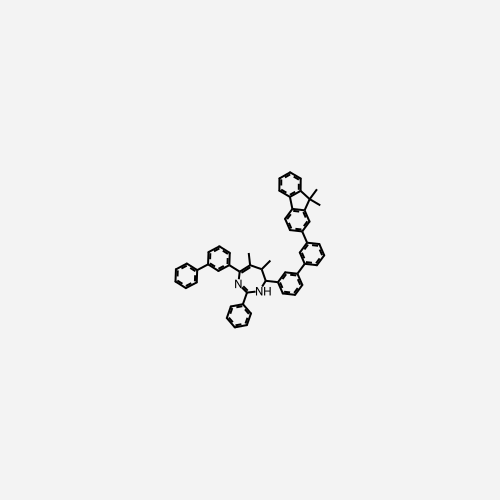 CC1=C(c2cccc(-c3ccccc3)c2)N=C(c2ccccc2)NC(c2cccc(-c3cccc(-c4ccc5c(c4)C(C)(C)c4ccccc4-5)c3)c2)C1C